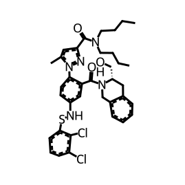 CCCCN(CCCC)C(=O)c1cc(C)n(-c2ccc(NSc3cccc(Cl)c3Cl)cc2C(=O)N2Cc3ccccc3C[C@H]2CO)n1